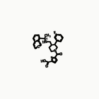 C[C@@H](NCC1CCN(C(=O)c2ccc(C(=O)O)s2)CC1c1cccc(F)c1)c1cccc2ccccc12